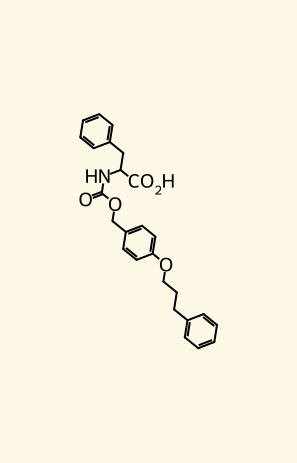 O=C(NC(Cc1ccccc1)C(=O)O)OCc1ccc(OCCCc2ccccc2)cc1